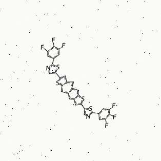 Fc1cc(-c2ncc(-c3cc4cc5cc6sc(-c7cnc(-c8cc(F)c(F)c(F)c8)s7)cc6cc5cc4s3)s2)cc(F)c1F